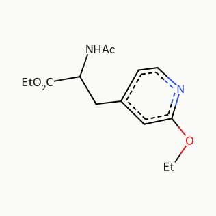 CCOC(=O)C(Cc1ccnc(OCC)c1)NC(C)=O